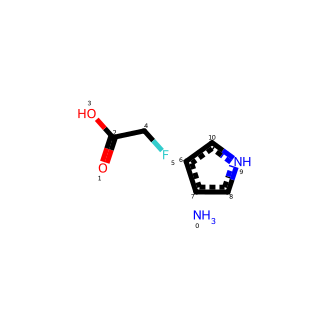 N.O=C(O)CF.c1cc[nH]c1